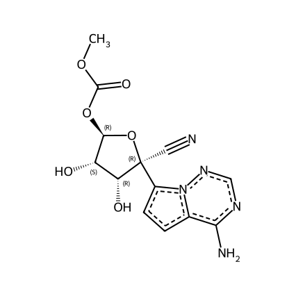 COC(=O)O[C@H]1O[C@@](C#N)(c2ccc3c(N)ncnn23)[C@H](O)[C@@H]1O